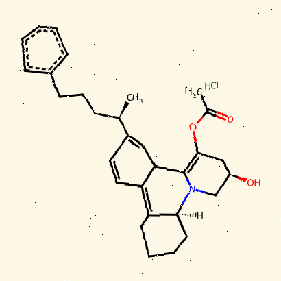 CC(=O)OC1=C2C3C=C([C@H](C)CCCc4ccccc4)C=CC3=C3CCCC[C@@H]3N2C[C@H](O)C1.Cl